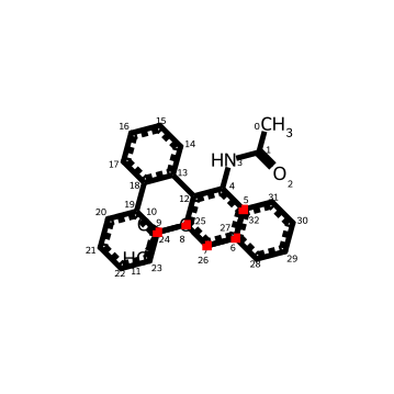 CC(=O)Nc1cccc(C(=O)O)c1-c1ccccc1-c1ccccc1OCc1ccccc1